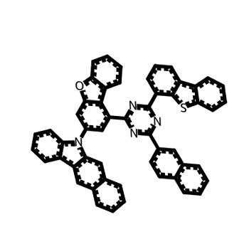 c1ccc2cc(-c3nc(-c4cccc5c4sc4ccccc45)nc(-c4cc(-n5c6ccccc6c6cc7ccccc7cc65)cc5oc6ccccc6c45)n3)ccc2c1